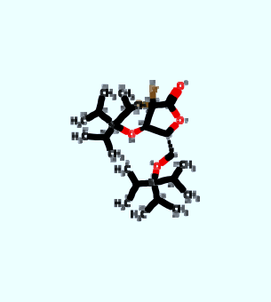 CC(C)[Si](OC[C@H]1OC(=O)C(Br)(Br)[C@@H]1O[Si](C(C)C)(C(C)C)C(C)C)(C(C)C)C(C)C